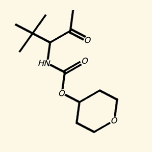 CC(=O)C(NC(=O)OC1CCOCC1)C(C)(C)C